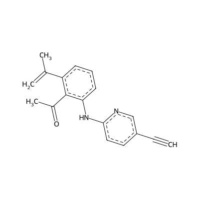 C#Cc1ccc(Nc2cccc(C(=C)C)c2C(C)=O)nc1